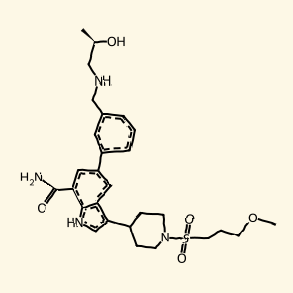 COCCCS(=O)(=O)N1CCC(c2c[nH]c3c(C(N)=O)cc(-c4cccc(CNC[C@@H](C)O)c4)cc23)CC1